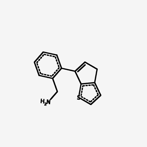 NCc1ccccc1C1=CCc2ccsc21